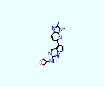 Cc1nc2ccc(-c3ccn4nc(NC5COC5)ncc34)nc2n1C